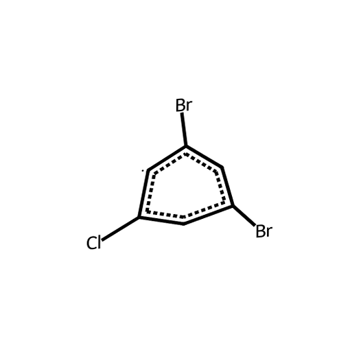 Clc1[c]c(Br)cc(Br)c1